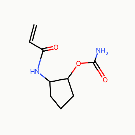 C=CC(=O)NC1CCCC1OC(N)=O